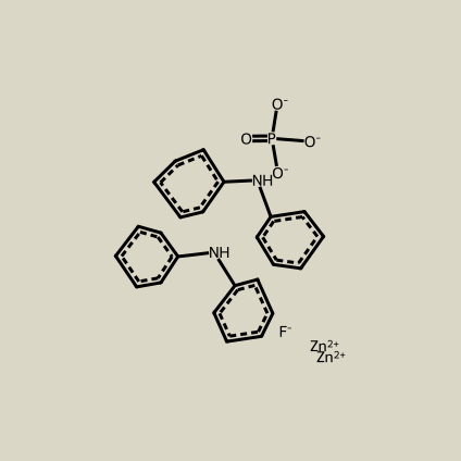 O=P([O-])([O-])[O-].[F-].[Zn+2].[Zn+2].c1ccc(Nc2ccccc2)cc1.c1ccc(Nc2ccccc2)cc1